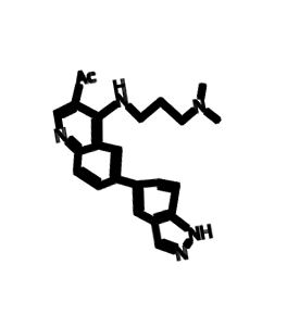 CC(=O)c1cnc2ccc(-c3ccc4[nH]ncc4c3)cc2c1NCCCN(C)C